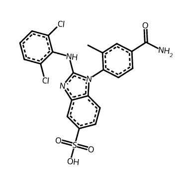 Cc1cc(C(N)=O)ccc1-n1c(Nc2c(Cl)cccc2Cl)nc2cc(S(=O)(=O)O)ccc21